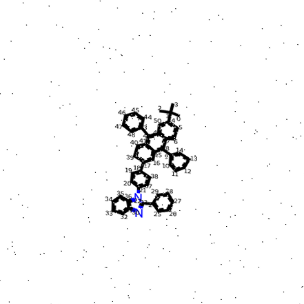 CC(C)(C)c1ccc2c(-c3ccccc3)c3cc(-c4ccc(-n5c(-c6ccccc6)nc6ccccc65)cc4)ccc3c(-c3ccccc3)c2c1